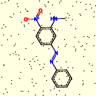 CNc1cc(N=Nc2ccccc2)ccc1[N+](=O)[O-]